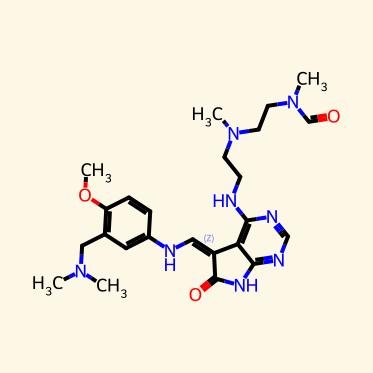 COc1ccc(N/C=C2\C(=O)Nc3ncnc(NCCN(C)CCN(C)C=O)c32)cc1CN(C)C